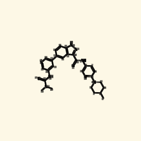 CC1CCN(c2ccc(NC(=O)c3n[nH]c4ccc(-c5cncc(NC(=O)N(C)C)c5)cc34)cn2)CC1